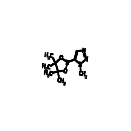 Cn1nncc1B1OC(C)(C)C(C)(C)O1